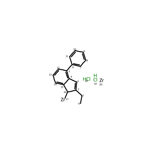 CCC1=Cc2c(-c3ccccc3)cccc2[CH]1[Zr].Cl.Cl.[Zr]